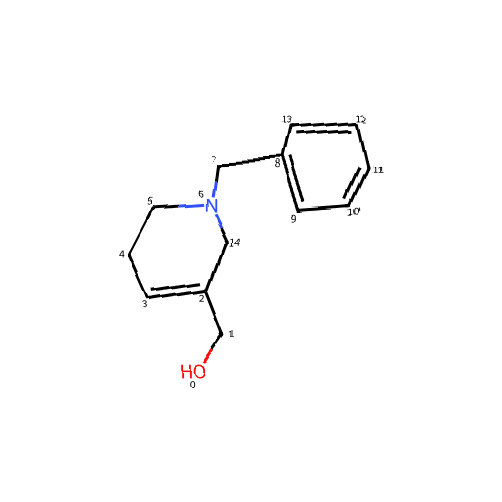 OCC1=CCCN(Cc2ccccc2)C1